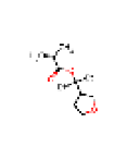 C=C(C)C(=O)OC(CC)(CC)C1CCOC1